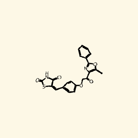 Cc1oc(-c2ccccc2)nc1C(=O)COc1ccc(C=C2SC(=O)NC2=O)cc1